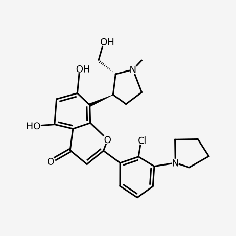 CN1CC[C@@H](c2c(O)cc(O)c3c(=O)cc(-c4cccc(N5CCCC5)c4Cl)oc23)[C@@H]1CO